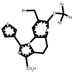 [2H]C([2H])([2H])Oc1cc2c(cc1CC(C)C)-n1c(-c3ccsc3)nc(C(=O)O)c1CC2